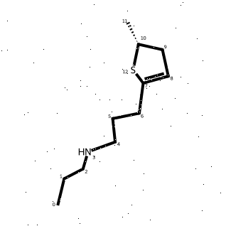 CCCNCCCC1=CC[C@@H](C)S1